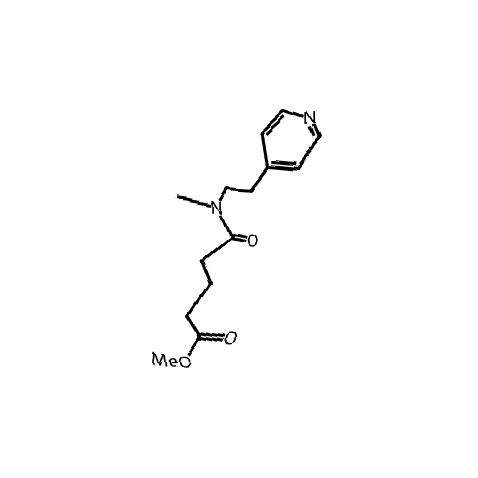 COC(=O)CCCC(=O)N(C)CCc1ccncc1